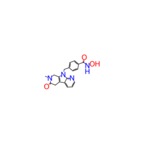 CN1Cc2c(c3cccnc3n2Cc2ccc(C(=O)NO)cc2)CC1=O